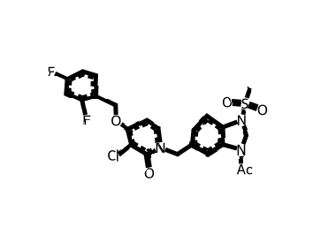 CC(=O)N1CN(S(C)(=O)=O)c2ccc(Cn3ccc(OCc4ccc(F)cc4F)c(Cl)c3=O)cc21